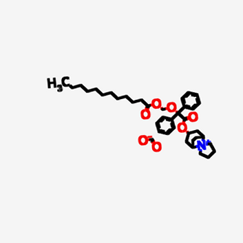 CCCCCCCCCCCC(=O)OCOC(C(=O)OC1CC2CCC(C1)[N+]21CCCC1)(c1ccccc1)c1ccccc1.O=C[O-]